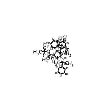 CC(C)(C)OC(=O)[C@@H]1N[C@@H](CC(C)(C)c2ccccc2)[C@](N)(c2ccc(Cl)cc2F)[C@H]1c1cccc(Cl)c1F